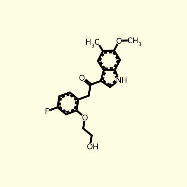 COc1cc2[nH]cc(C(=O)Cc3ccc(F)cc3OCCO)c2cc1C